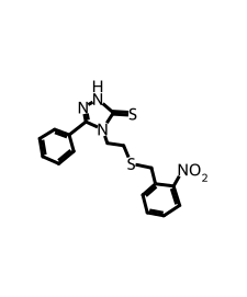 O=[N+]([O-])c1ccccc1CSCCn1c(-c2ccccc2)n[nH]c1=S